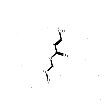 CCOCOC(=O)C=CC(=O)O